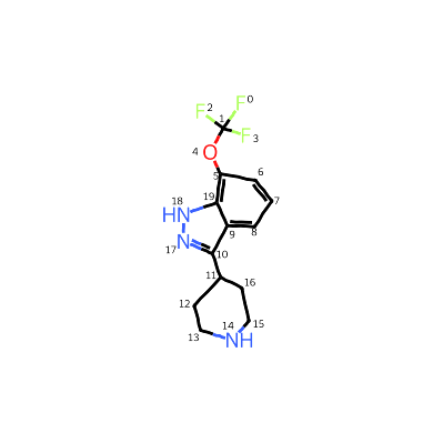 FC(F)(F)Oc1cccc2c(C3CCNCC3)n[nH]c12